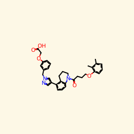 Cc1cccc(OCCCC(=O)N2CCCc3c(-c4cnn(Cc5cccc(OCC(=O)O)c5)c4)cccc32)c1C